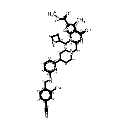 COC(=O)c1sc2c(c1C)c(=O)nc(CN1CCC(c3cccc(OCc4ccc(C#N)cc4F)n3)CC1)n2CC1CCO1